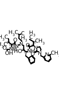 CC[C@H](C)[C@H](NC(=O)O)C(=O)NN(CCC(C)C)C[C@H](O)[C@H](Cc1ccccc1)NC(=O)[C@H]([C@@H](C)CC)N1CCN(Cc2cccc(C)n2)C1=O